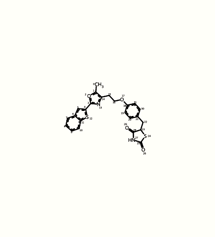 Cc1oc(-c2cc3ccccc3s2)nc1CCOc1ccc(CC2SC(=O)NC2=O)cc1